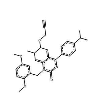 C#CCOC1C=c2c(-c3ccc(C(C)C)cc3)nc(=O)n(Cc3cc(OC)ccc3OC)c2=CC1C